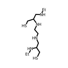 CCNCC(CS)NCCNCC(CS)NCC